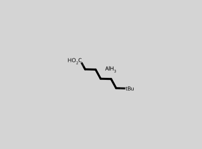 CC(C)(C)CCCCCC(=O)O.[AlH3]